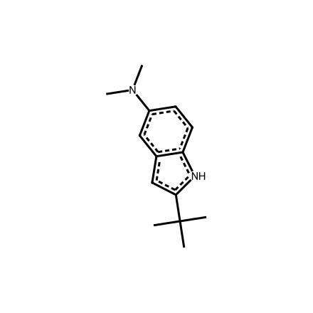 CN(C)c1ccc2[nH]c(C(C)(C)C)cc2c1